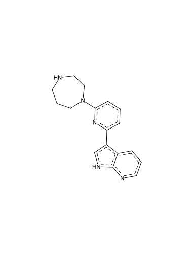 c1cc(-c2c[nH]c3ncccc23)nc(N2CCCNCC2)c1